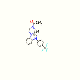 CC(=O)N1CCN2c3ccccc3N(c3ccc(C(F)(F)F)cc3)C[C@@H]2C1